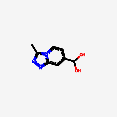 Cc1nnc2cc(B(O)O)ccn12